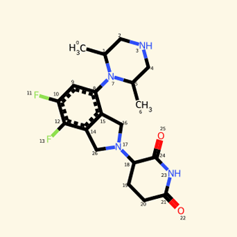 CC1CNCC(C)N1c1cc(F)c(F)c2c1CN(C1CCC(=O)NC1=O)C2